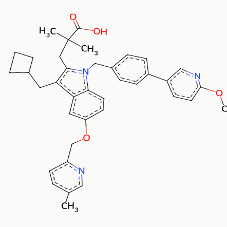 COc1ccc(-c2ccc(Cn3c(CC(C)(C)C(=O)O)c(CC4CCC4)c4cc(OCc5ccc(C)cn5)ccc43)cc2)cn1